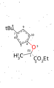 CCOC(=O)[C@H](C)Oc1ccc(C(C)(C)C)cc1